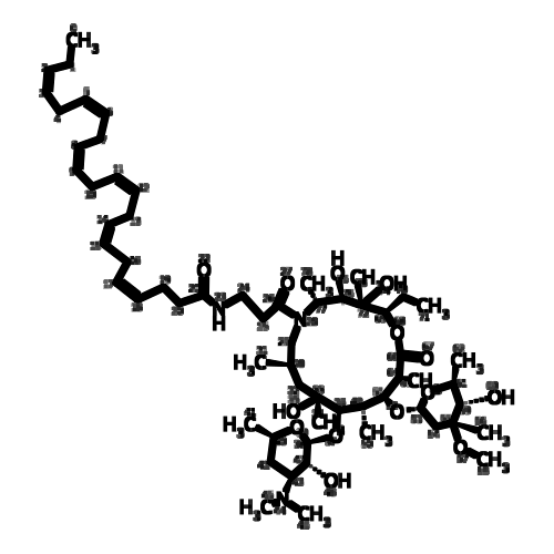 CC/C=C\C/C=C\C/C=C\C/C=C\C/C=C\C/C=C\CCC(=O)NCCC(=O)N1C[C@H](C)C[C@@](C)(O)[C@H](O[C@@H]2O[C@H](C)C[C@H](N(C)C)[C@H]2O)[C@@H](C)[C@H](O[C@H]2C[C@@](C)(OC)[C@@H](O)[C@H](C)O2)[C@@H](C)C(=O)O[C@H](CC)[C@@](C)(O)[C@H](O)[C@H]1C